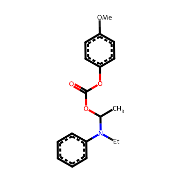 CCN(c1ccccc1)C(C)OC(=O)Oc1ccc(OC)cc1